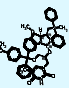 COc1ccc(C(OC[C@H](Cn2cc(C)c(=O)[nH]c2=O)O[P@]2O[C@H](C[Si](C)(c3ccccc3)c3ccccc3)[C@@H]3CCCN32)(c2ccccc2)c2ccc(OC)cc2)cc1